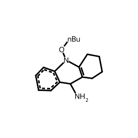 CCCCON1C2=C(CCCC2)C(N)c2ccccc21